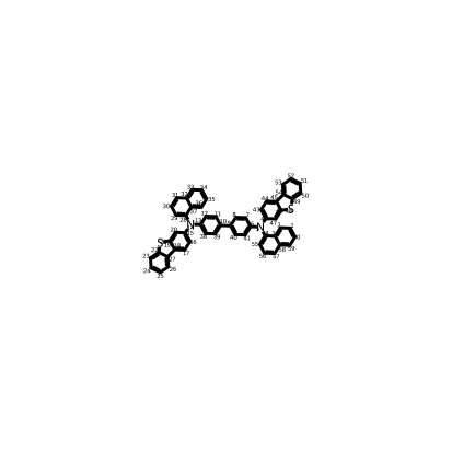 c1ccc2c(N(c3ccc(-c4ccc(N(c5ccc6c(c5)sc5ccccc56)c5cccc6ccccc56)cc4)cc3)c3ccc4c(c3)sc3ccccc34)cccc2c1